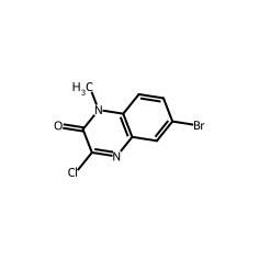 Cn1c(=O)c(Cl)nc2cc(Br)ccc21